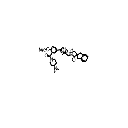 COc1ccc(-c2csc(CNC(=O)C3(CC(=O)O)Cc4ccccc4C3)n2)cc1C(=O)N1CCC(N(C)C)CC1